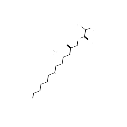 CCCCCCCCCCCC(=O)COC(=O)C(C)N.[NaH]